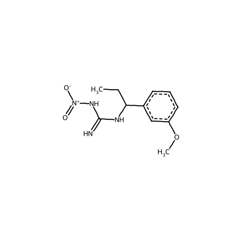 CCC(NC(=N)N[N+](=O)[O-])c1cccc(OC)c1